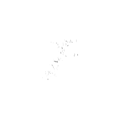 N=C(N[C@@H]1CCCNC1)c1ccc(OC[C@H](ONC(C(N)=O)c2csc(N)n2)C(=O)O)cc1